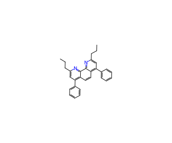 CCCc1cc(-c2ccccc2)c2ccc3c(-c4ccccc4)cc(CCC)nc3c2n1